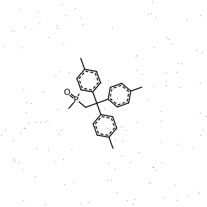 Cc1ccc(C(CP(C)(C)=O)(c2ccc(C)cc2)c2ccc(C)cc2)cc1